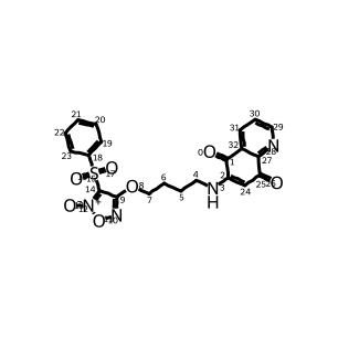 O=C1C(NCCCCOc2no[n+]([O-])c2S(=O)(=O)c2ccccc2)=CC(=O)c2ncccc21